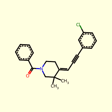 CC1(C)CN(C(=O)c2ccccc2)CC/C1=C\C#Cc1cccc(Cl)c1